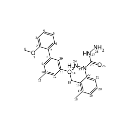 COc1ccccc1-c1cc(C)cc(OCc2c(C)cccc2N(N)C(=O)NN)c1